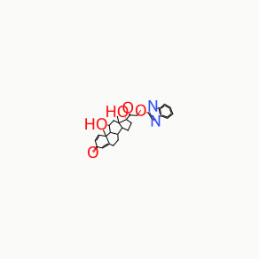 CC12C=CC(=O)C=C1CCC1C2[C@@H](O)CC2(C)C1CC[C@]2(O)C(=O)COc1cnc2ccccc2n1